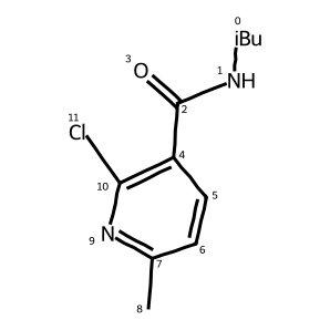 CCC(C)NC(=O)c1ccc(C)nc1Cl